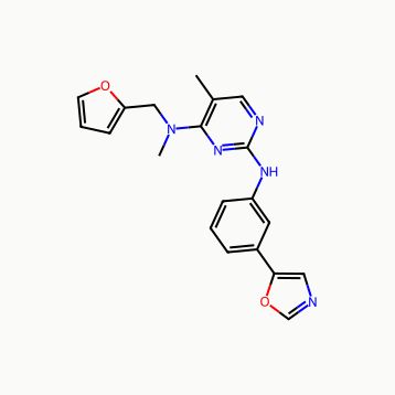 Cc1cnc(Nc2cccc(-c3cnco3)c2)nc1N(C)Cc1ccco1